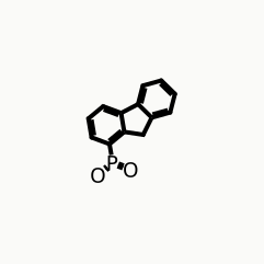 O=P(=O)c1cccc2c1Cc1ccccc1-2